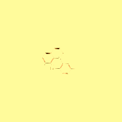 FC(F)(F)c1ccc(Br)c(N2CC=Cc3ccccc32)c1